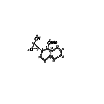 COc1c(C2OC2C#N)ccc2ccccc12